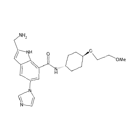 COCCO[C@H]1CC[C@H](NC(=O)c2cc(-n3ccnc3)cc3cc(CN)[nH]c23)CC1